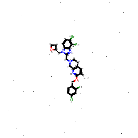 Fc1cc(Cl)ccc1COc1nc2c(cc1C(F)(F)F)CCN(Cc1nc3c(F)c(Br)ccc3n1C[C@@H]1CCO1)C2